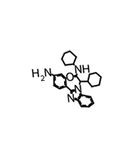 Nc1ccc(-c2nc3ccccc3n2C(C(=O)NC2CCCCC2)C2CCCCC2)cc1